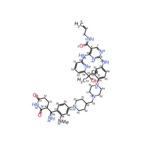 C=CCNC(=O)c1cnc(Nc2ccc(N3CCN(CC4CCN(c5ccc(C(=N)C6CCC(=O)NC6=O)c(NC)c5)CC4)CC3)cc2)nc1Nc1cccc(C(C)(C)O)n1